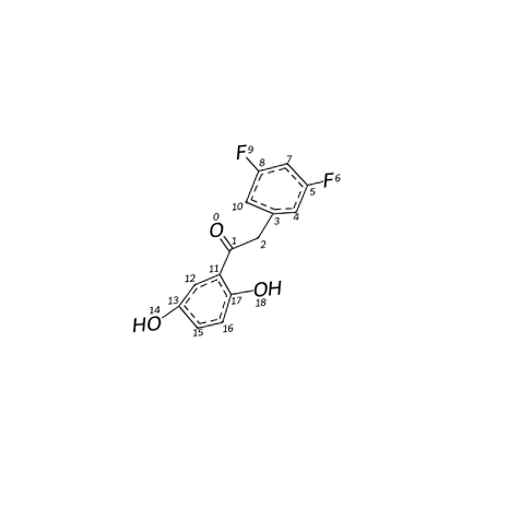 O=C(Cc1cc(F)cc(F)c1)c1cc(O)ccc1O